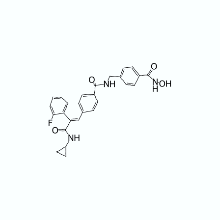 O=C(NC1CC1)/C(=C/c1ccc(C(=O)NCc2ccc(C(=O)NO)cc2)cc1)c1ccccc1F